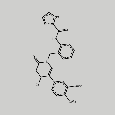 CCC1CC(=O)N(Cc2ccccc2NC(=O)c2ccc[nH]2)N=C1c1ccc(OC)c(OC)c1